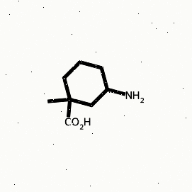 CC1(C(=O)O)CCCC(N)C1